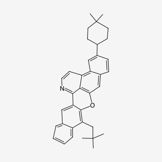 CC(C)(C)Cc1c2c(cc3ccccc13)-c1nccc3c1c(cc1ccc(C4CCC(C)(C)CC4)cc13)O2